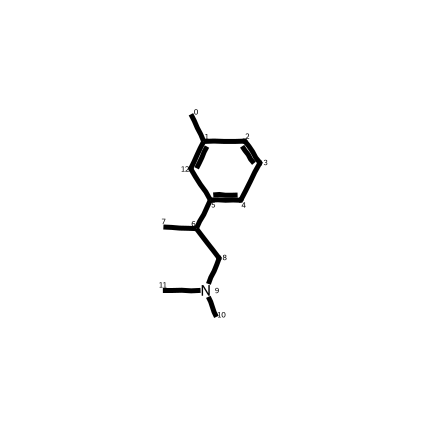 Cc1cccc(C(C)CN(C)C)c1